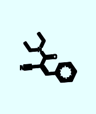 CCN(CC)C(=O)C(C#N)=Cc1ccccc1